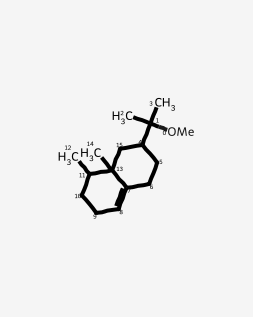 COC(C)(C)C1CCC2=CCCC(C)C2(C)C1